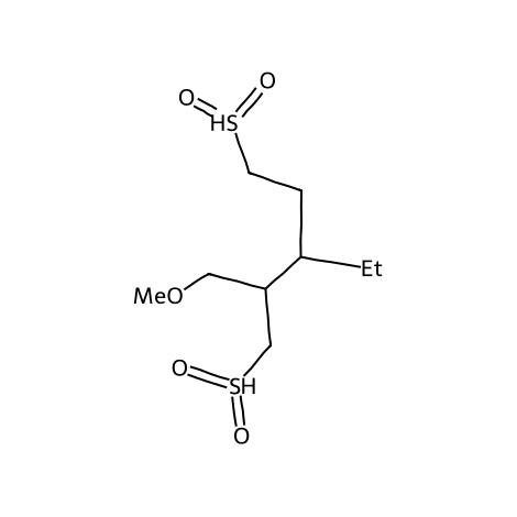 CCC(CC[SH](=O)=O)C(COC)C[SH](=O)=O